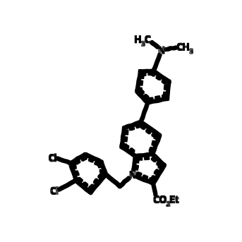 CCOC(=O)c1cc2cc(-c3ccc(N(C)C)cc3)ccc2n1Cc1ccc(Cl)c(Cl)c1